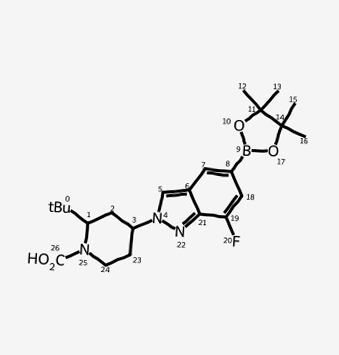 CC(C)(C)C1CC(n2cc3cc(B4OC(C)(C)C(C)(C)O4)cc(F)c3n2)CCN1C(=O)O